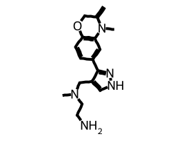 C=C1COc2ccc(-c3n[nH]cc3CN(C)CCN)cc2N1C